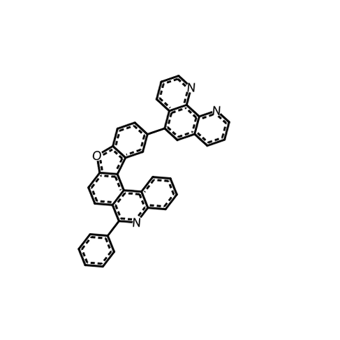 c1ccc(-c2nc3ccccc3c3c2ccc2oc4ccc(-c5cc6cccnc6c6ncccc56)cc4c23)cc1